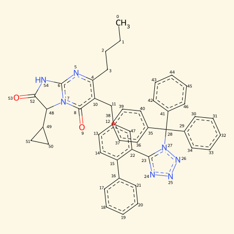 CCCCc1nc2n(c(=O)c1Cc1ccc(-c3ccccc3)c(-c3nnnn3C(c3ccccc3)(c3ccccc3)c3ccccc3)c1)C(C1CC1)C(=O)N2